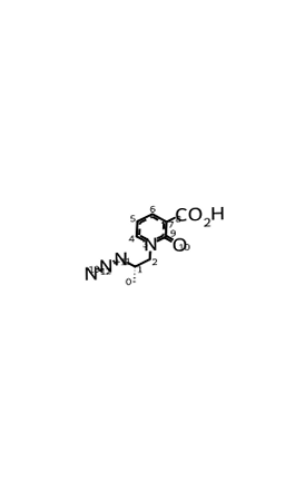 C[C@@H](Cn1cccc(C(=O)O)c1=O)N=[N+]=[N-]